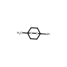 [CH2]C12CCC(CCC)(CC1)CC2